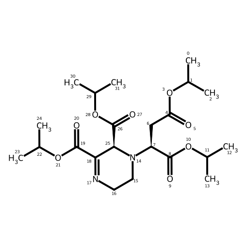 CC(C)OC(=O)C[C@@H](C(=O)OC(C)C)N1CCN=C(C(=O)OC(C)C)[C@H]1C(=O)OC(C)C